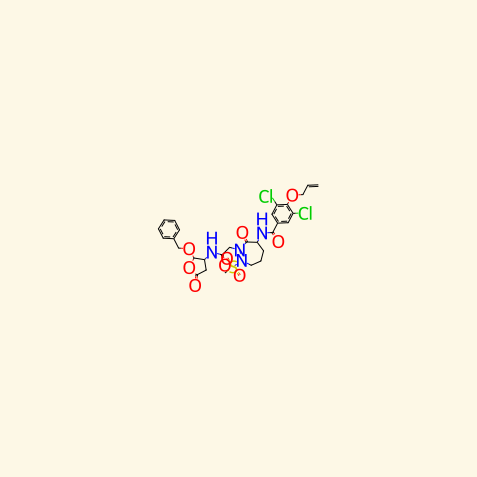 C=CCOc1c(Cl)cc(C(=O)NC2CCCN(S(C)(=O)=O)N(CC(=O)NC3CC(=O)OC3OCc3ccccc3)C2=O)cc1Cl